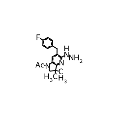 CC(=O)N1CC(C)(C)c2nc(NN)c(Cc3ccc(F)cc3)cc21